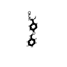 C[C@H](N=C=O)c1ccc(OCc2ccccc2)cc1